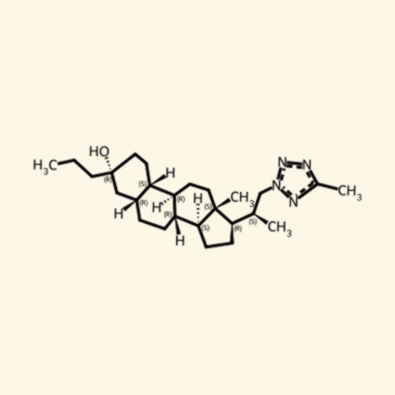 CCC[C@@]1(O)CC[C@H]2[C@H](CC[C@@H]3[C@@H]2CC[C@]2(C)[C@@H]([C@H](C)Cn4nnc(C)n4)CC[C@@H]32)C1